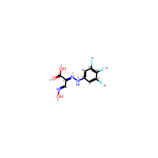 O=C(O)C(/C=N/O)=N/Nc1cc(F)c(F)c(F)c1